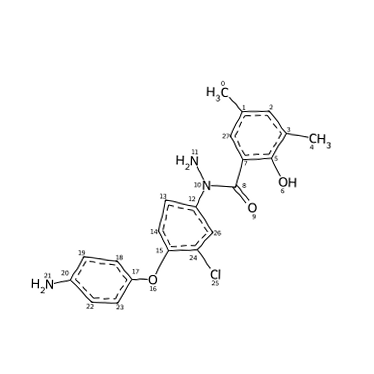 Cc1cc(C)c(O)c(C(=O)N(N)c2ccc(Oc3ccc(N)cc3)c(Cl)c2)c1